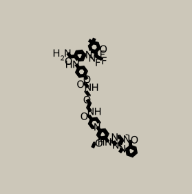 CCOc1cc(N2CCC(C(=O)NCCOCCNC(=O)OC3CCC(Nc4cc(-n5nc(C(F)(F)F)c6c5CC(C)(C)CC6=O)ccc4C(N)=O)CC3)CC2)ccc1Nc1ncc2c(n1)N(C)c1ccccc1C(=O)N2C